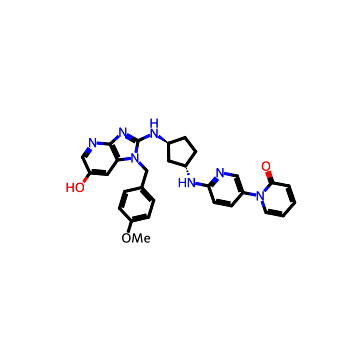 COc1ccc(Cn2c(N[C@H]3CC[C@H](Nc4ccc(-n5ccccc5=O)cn4)C3)nc3ncc(O)cc32)cc1